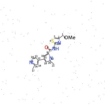 COCc1csc(NC(=O)c2cc(-c3ccnc(C)c3)cc(C)n2)n1